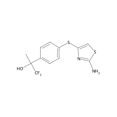 CC(O)(c1ccc(Sc2csc(N)n2)cc1)C(F)(F)F